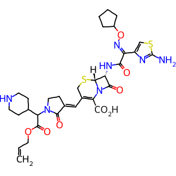 C=CCOC(=O)C(C1CCNCC1)N1CCC(=CC2=C(C(=O)O)N3C(=O)[C@@H](NC(=O)C(=NOC4CCCC4)c4csc(N)n4)[C@H]3SC2)C1=O